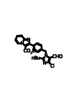 CCCCc1nc(Cl)c(C=O)n1Cc1ccc(-c2nc3ccccn3c2C(=O)OCC)cc1